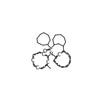 Cc1cccccccc(N2c3cccccccc(c3)C3CCCCCC(C3)P2(=O)C2CCCCCCC2)c1